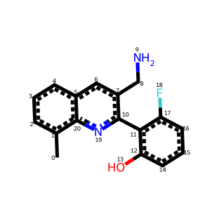 Cc1cccc2cc(CN)c(-c3c(O)cccc3F)nc12